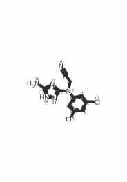 N#CCN(c1cc(Cl)cc(Cl)c1)c1n[nH]c(N)n1